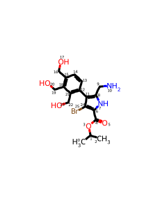 CC(C)OC(=O)c1[nH]c(CN)c(-c2ccc(CO)c(CO)c2CO)c1Br